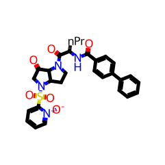 CCCC(NC(=O)c1ccc(-c2ccccc2)cc1)C(=O)N1CCC2C1C(=O)CN2S(=O)(=O)c1cccc[n+]1[O-]